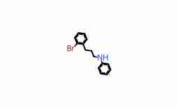 Brc1ccccc1CCCNc1cc[c]cc1